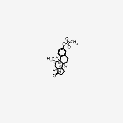 C[C@H]1C[C@@H]2C(=O)CC[C@H]2[C@@H]2CCc3cc(OS(C)(=O)=O)ccc3[C@H]21